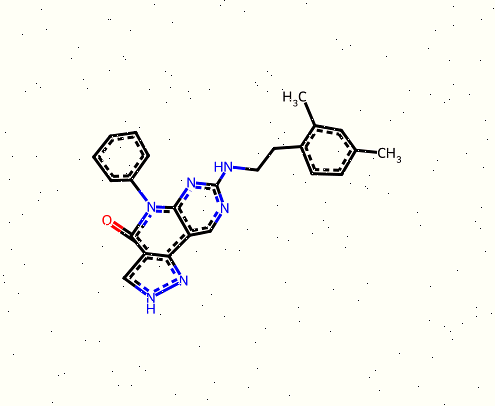 Cc1ccc(CCNc2ncc3c4n[nH]cc4c(=O)n(-c4ccccc4)c3n2)c(C)c1